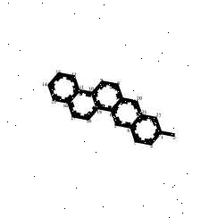 Cc1ccc2cc3c(ccc4c5ccccc5ccc34)cc2c1